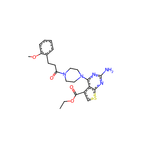 CCOC(=O)c1csc2nc(N)nc(N3CCN(C(=O)CCc4ccccc4OC)CC3)c12